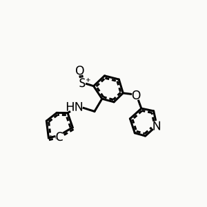 O=[S+]c1ccc(Oc2cccnc2)cc1CNc1ccccc1